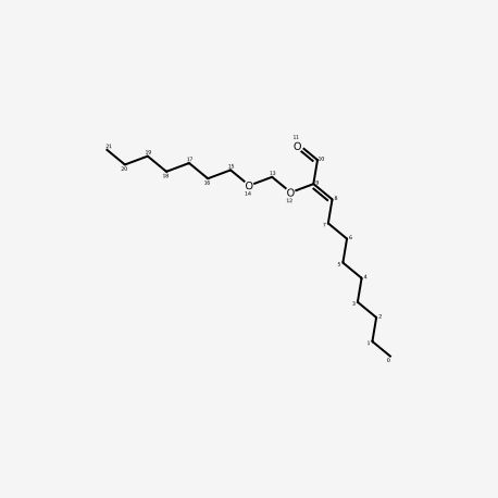 CCCCCCCCC=C(C=O)OCOCCCCCCC